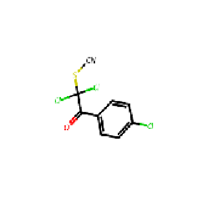 N#CSC(Cl)(Cl)C(=O)c1ccc(Cl)cc1